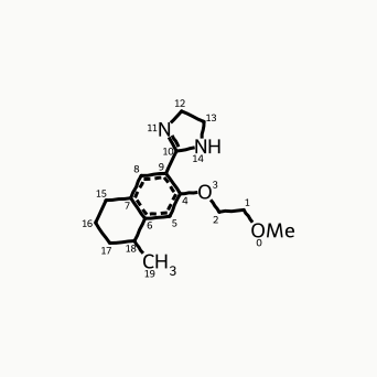 COCCOc1cc2c(cc1C1=NCCN1)CCCC2C